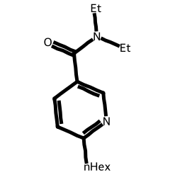 CCCCCCc1ccc(C(=O)N(CC)CC)cn1